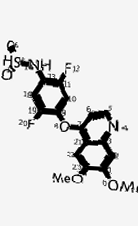 COc1cc2nccc(Oc3cc(F)c(N[SH](=O)=O)cc3F)c2cc1OC